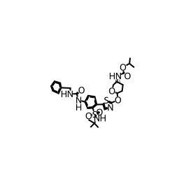 CC(C)OC(=O)N[C@H]1CCC(Oc2ncc(-c3ccc(NC(=O)NCc4ccccc4)cc3S(=O)(=O)NC(C)(C)C)s2)OC1